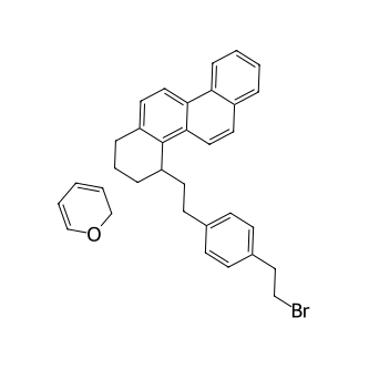 BrCCc1ccc(CCC2CCCc3ccc4c(ccc5ccccc54)c32)cc1.C1=CCOC=C1